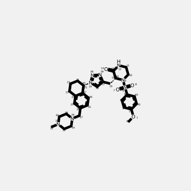 COc1ccc(S(=O)(=O)N2CCNC(=O)[C@H]2Cc2cn([C@H]3CCCc4cc(CN5CCN(C)CC5)ccc43)nn2)cc1